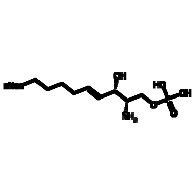 CCCCCCCCCCCCC/C=C/[C@H](O)[C@@H](N)COP(=O)(O)O